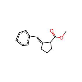 COC(=O)C1CCC/C1=C\c1ccccc1